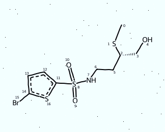 CS[C@H](CO)CCNS(=O)(=O)c1ccc(Br)s1